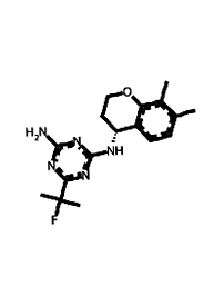 Cc1ccc2c(c1C)OCC[C@H]2Nc1nc(N)nc(C(C)(C)F)n1